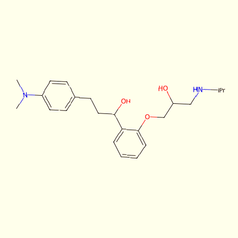 CC(C)NCC(O)COc1ccccc1C(O)CCc1ccc(N(C)C)cc1